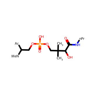 CCCNC(=O)C(O)C(C)(C)COP(=O)(O)OCC(NC)C(C)=O